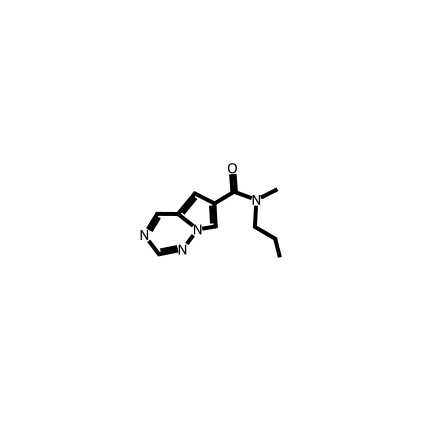 CCCN(C)C(=O)c1cc2cncnn2c1